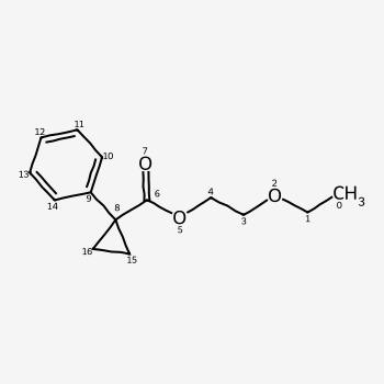 CCOCCOC(=O)C1(c2ccccc2)CC1